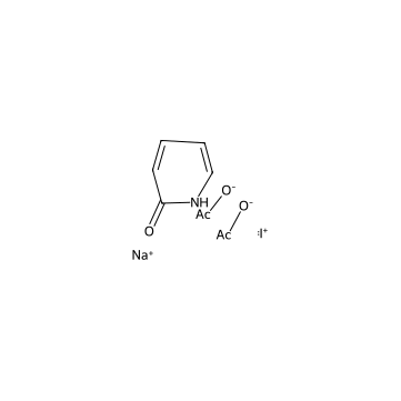 CC(=O)[O-].CC(=O)[O-].O=c1cccc[nH]1.[I+].[Na+]